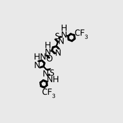 O=C(Nc1cncc(-c2csc(Nc3cccc(C(F)(F)F)c3)n2)c1)Nc1cncc(-c2csc(Nc3cccc(C(F)(F)F)c3)n2)c1